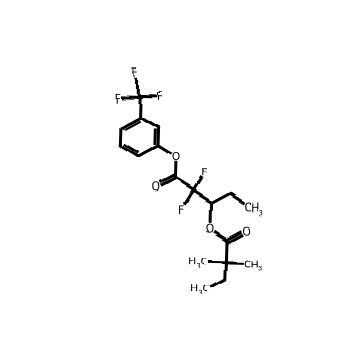 CCC(OC(=O)C(C)(C)CC)C(F)(F)C(=O)Oc1cccc(C(F)(F)F)c1